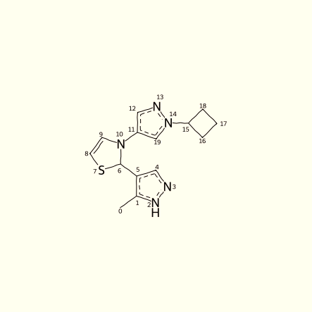 Cc1[nH]ncc1C1SC=CN1c1cnn(C2CCC2)c1